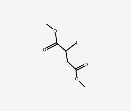 COC(=O)CC(I)C(=O)OC